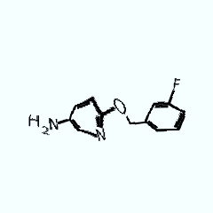 Nc1ccc(OCc2cccc(F)c2)nc1